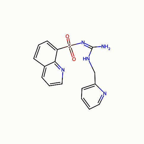 N/C(=N/S(=O)(=O)c1cccc2cccnc12)NCc1ccccn1